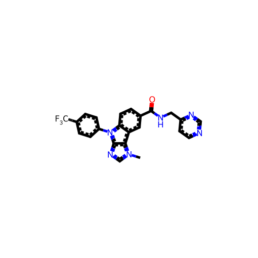 Cn1cnc2c1c1cc(C(=O)NCc3ccncn3)ccc1n2-c1ccc(C(F)(F)F)cc1